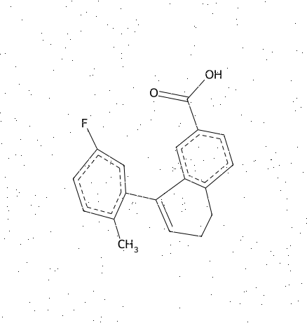 Cc1ccc(F)cc1C1=CCCc2ccc(C(=O)O)cc21